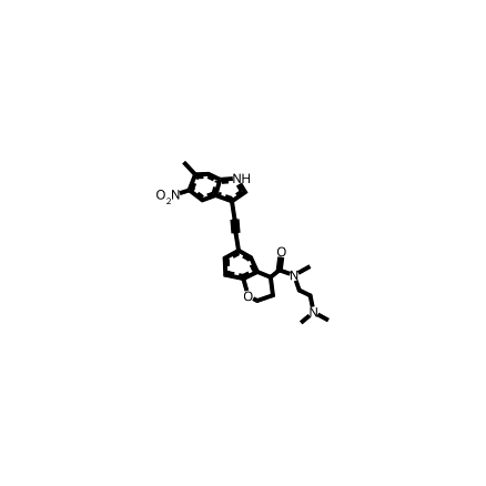 Cc1cc2[nH]cc(C#Cc3ccc4c(c3)C(C(=O)N(C)CCN(C)C)CCO4)c2cc1[N+](=O)[O-]